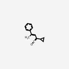 CC(=CC(=C=O)C1CC1)c1ccccc1